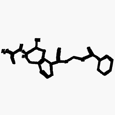 CC(=O)N[C@H]1Cc2cccc(C(=O)OCOC(=O)C3CCCCC3)c2OB1O